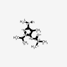 Cc1c([S+](C)[O-])nn(C(C)C)c1OC(=O)N(C)C